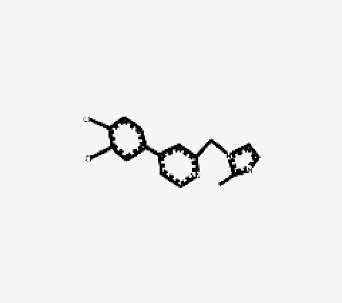 Cc1nccn1Cc1cc(-c2ccc(Cl)c(Cl)c2)ccn1